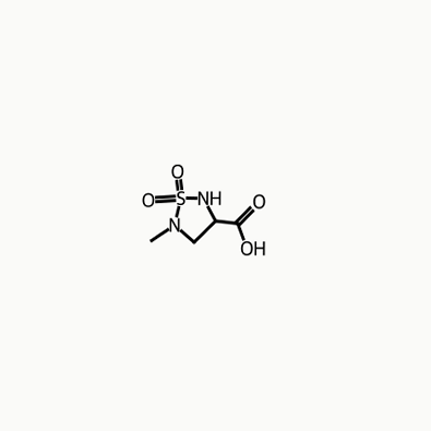 CN1CC(C(=O)O)NS1(=O)=O